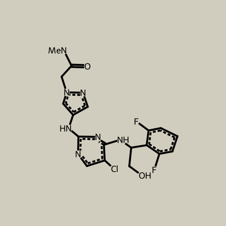 CNC(=O)Cn1cc(Nc2ncc(Cl)c(NC(CO)c3c(F)cccc3F)n2)cn1